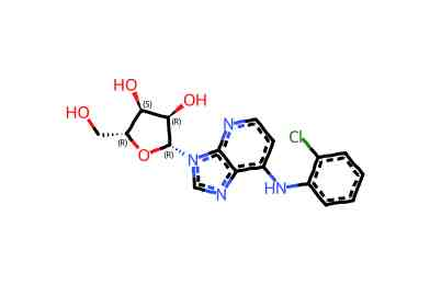 OC[C@H]1O[C@@H](n2cnc3c(Nc4ccccc4Cl)ccnc32)[C@H](O)[C@@H]1O